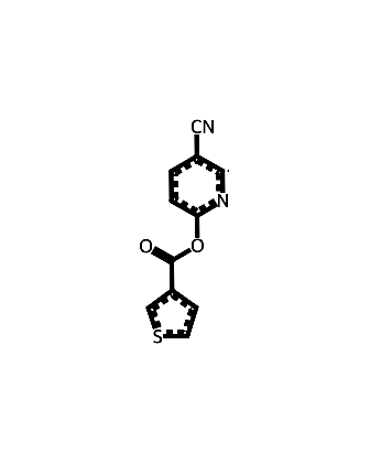 N#Cc1[c]nc(OC(=O)c2ccsc2)cc1